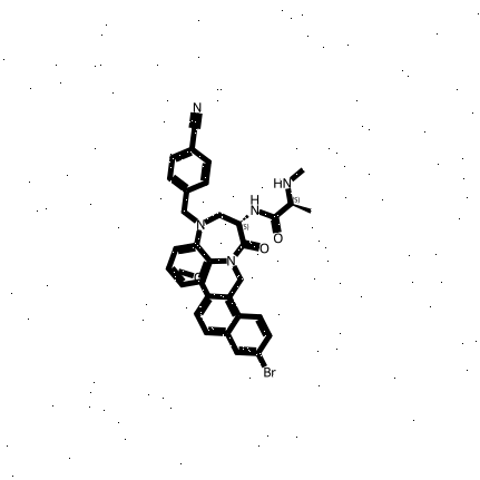 CN[C@@H](C)C(=O)N[C@H]1CN(Cc2ccc(C#N)cc2)c2ccccc2N(Cc2c(OC)ccc3cc(Br)ccc23)C1=O